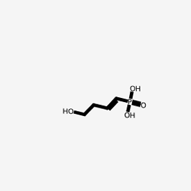 O=P(O)(O)C=CCCO